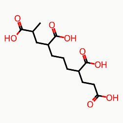 CC(CC(CCCC(CCC(=O)O)C(=O)O)C(=O)O)C(=O)O